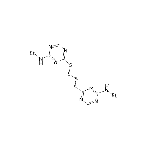 CCNc1ncnc(SSSSc2ncnc(NCC)n2)n1